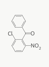 O=C(c1ccccc1)c1c(Cl)cccc1[N+](=O)[O-]